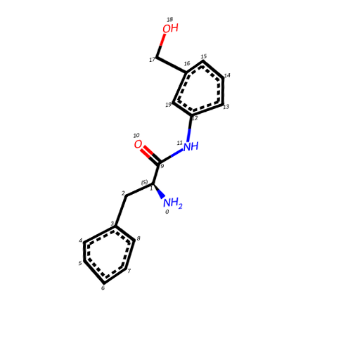 N[C@@H](Cc1ccccc1)C(=O)Nc1cccc(CO)c1